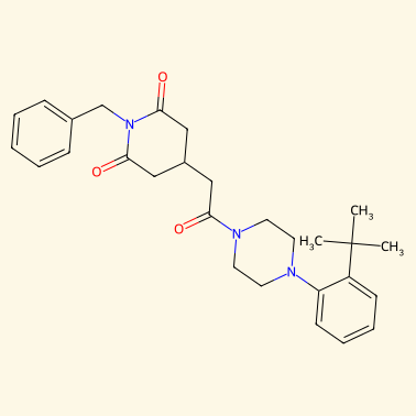 CC(C)(C)c1ccccc1N1CCN(C(=O)CC2CC(=O)N(Cc3ccccc3)C(=O)C2)CC1